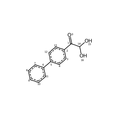 O=C(c1ccc(-c2ccccc2)cc1)C(O)O